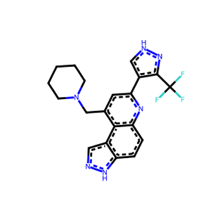 FC(F)(F)c1n[nH]cc1-c1cc(CN2CCCCC2)c2c(ccc3[nH]ncc32)n1